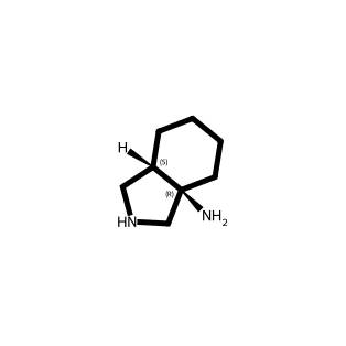 N[C@]12CCCC[C@H]1CNC2